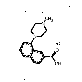 CN1CCN(c2cccc3ccc(C(=O)O)cc23)CC1.Cl